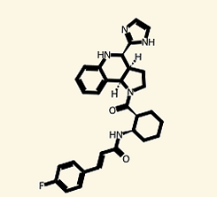 O=C(/C=C/c1ccc(F)cc1)N[C@@H]1CCCC[C@@H]1C(=O)N1CC[C@@H]2[C@H](c3ncc[nH]3)Nc3ccccc3[C@@H]21